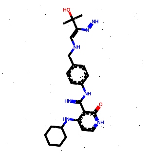 CC(C)(O)/C(=C/NCc1ccc(NC(=N)c2c(NC3CCCCC3)cc[nH]c2=O)cc1)N=N